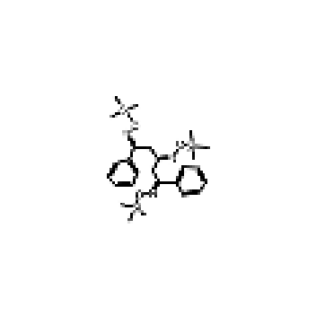 C[Si](C)(C)ON=C(C/C(=N\O[Si](C)(C)C)c1ccccc1)C/C(=N\O[Si](C)(C)C)c1ccccc1